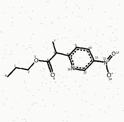 CCCOC(=O)C(C)c1ccc([N+](=O)[O-])cn1